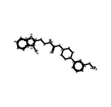 O=C(CN1CCN(c2cccc(CC(F)(F)F)c2)CC1)NCCc1oc2ccccc2[n+]1[O-]